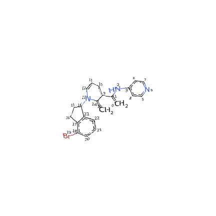 C=C(Nc1ccncc1)C1=CC=CN(C2CCc3c(Br)cccc32)C1=C